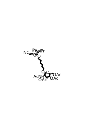 CC(=O)N[C@H]1[C@H](OCCCCCCOP(OCCC#N)N(C(C)C)C(C)C)O[C@H](COC(C)=O)[C@H](OC(C)=O)[C@@H]1OC(C)=O